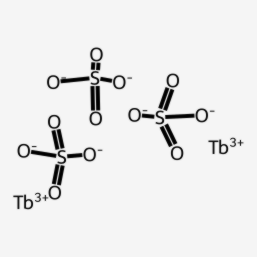 O=S(=O)([O-])[O-].O=S(=O)([O-])[O-].O=S(=O)([O-])[O-].[Tb+3].[Tb+3]